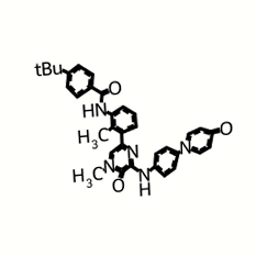 Cc1c(NC(=O)c2ccc(C(C)(C)C)cc2)cccc1-c1cn(C)c(=O)c(Nc2ccc(-n3ccc(=O)cc3)cc2)n1